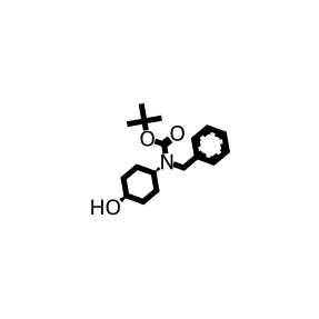 CC(C)(C)OC(=O)N(Cc1ccccc1)[C@H]1CC[C@H](O)CC1